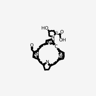 O=C(O)[C@@H]1CC(O)CN1.O=Cc1cc2cc3nc(cc4ccc(cc5nc(cc1[nH]2)C=C5)[nH]4)CC3